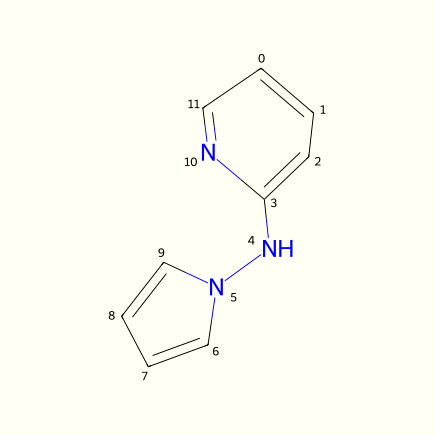 c1ccc(Nn2cccc2)nc1